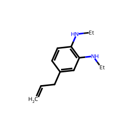 C=CCc1ccc(NCC)c(NCC)c1